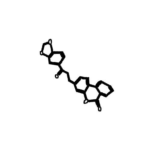 O=C(CCc1ccc2c(c1)oc(=O)c1ccccc12)c1ccc2c(c1)OCO2